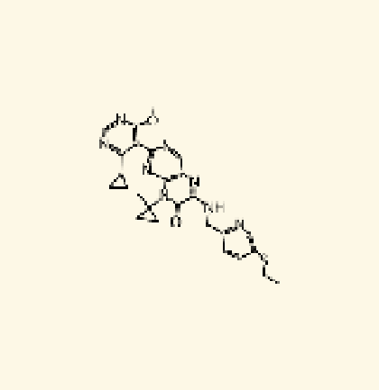 CCSc1ccc(CNc2nc3cnc(-c4c(OC)ncnc4C4CC4)nc3n(C3(C)CC3)c2=O)nc1